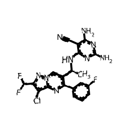 C[C@H](Nc1nc(N)nc(N)c1C#N)c1cn2nc(C(F)F)c(Cl)c2nc1-c1cccc(F)c1